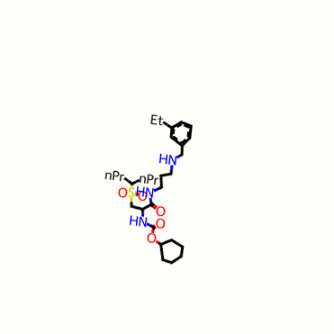 CCCC(CCC)S(=O)(=O)CC(NC(=O)OC1CCCCC1)C(=O)NCCCNCc1cccc(CC)c1